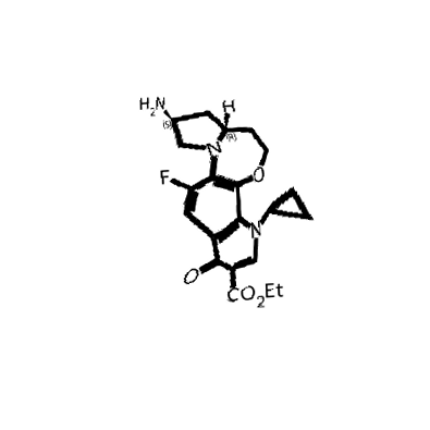 CCOC(=O)c1cn(C2CC2)c2c3c(c(F)cc2c1=O)N1C[C@@H](N)C[C@@H]1CCO3